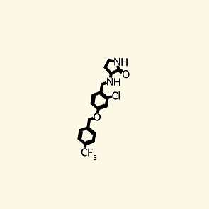 O=C1NCCC1NCc1ccc(OCc2ccc(C(F)(F)F)cc2)cc1Cl